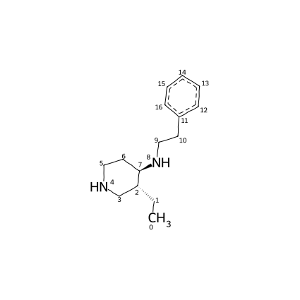 CC[C@@H]1CNCC[C@H]1NCCc1ccccc1